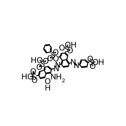 Nc1c(N=Nc2ccc(N=Nc3ccc(S(=O)(=O)O)cc3)c3cc(S(=O)(=O)O)cc(OS(=O)(=O)c4ccccc4)c23)cc(S(=O)(=O)O)c2cc(S(=O)(=O)O)cc(O)c12